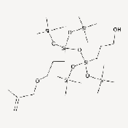 C=C(C)COCCC[Si](O[Si](C)(C)C)(O[Si](C)(C)C)O[Si](CCCO)(O[Si](C)(C)C)O[Si](C)(C)C